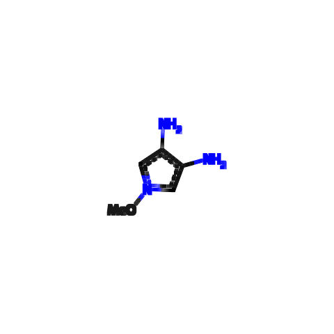 COn1cc(N)c(N)c1